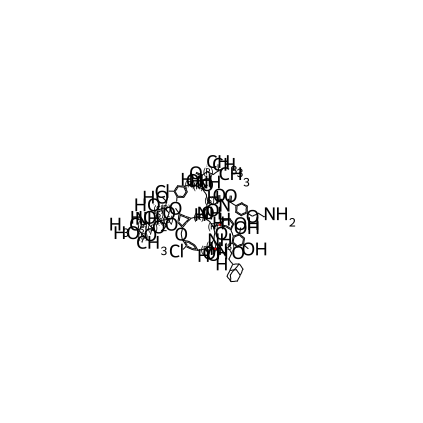 CC[C@H](CC(C)C)C(=O)N[C@H]1C(=O)C[C@@H](CC(=O)NC(=O)c2ccc(OCCN)cc2)C(=O)N[C@H]2C(=O)C[C@H]3C(=O)N[C@H](C(=O)N[C@H](C(=O)CC4C5CC6CC(C5)CC4C6)c4cc(O)cc(O)c4-c4cc3ccc4O)[C@H](O)c3ccc(c(Cl)c3)Oc3cc2cc(c3O[C@@H]2O[C@H](CO)[C@@H](O)[C@H](O)[C@H]2O[C@H]2C[C@](C)(N)[C@H](O)[C@H](C)O2)Oc2ccc(cc2Cl)[C@H]1O